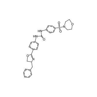 O=C(Nc1ccc(C2=NC(Cc3ccccc3)CO2)cc1)Nc1ccc(S(=O)(=O)N2CCOCC2)cc1